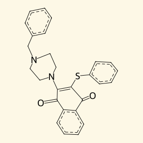 O=C1C(Sc2ccccc2)=C(N2CCN(Cc3ccccc3)CC2)C(=O)c2ccccc21